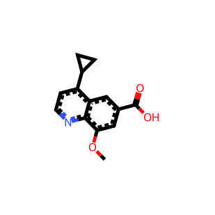 COc1cc(C(=O)O)cc2c(C3CC3)ccnc12